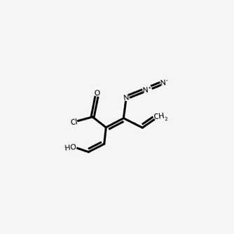 C=C/C(N=[N+]=[N-])=C(\C=C/O)C(=O)Cl